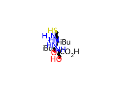 CC[C@H](C)[C@H](NC[C@@H](NC[C@@H](N)CS)[C@@H](C)CC)C(=O)N[C@@H](CCO)C(=O)O